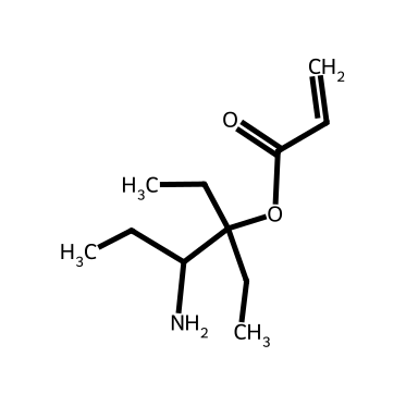 C=CC(=O)OC(CC)(CC)C(N)CC